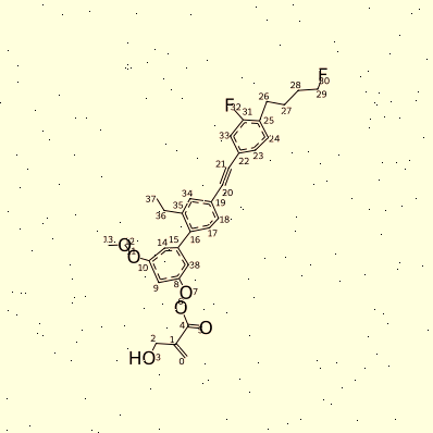 C=C(CO)C(=O)OOc1cc(OOC)cc(-c2ccc(C#Cc3ccc(CCCCF)c(F)c3)cc2CC)c1